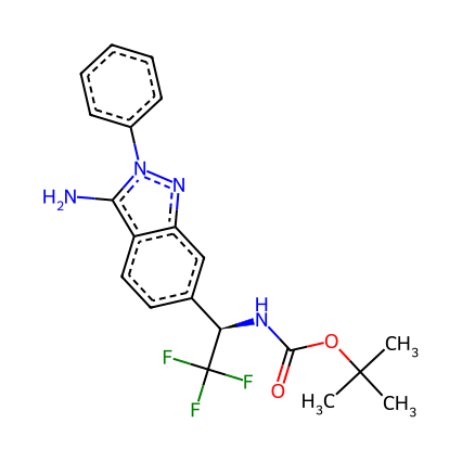 CC(C)(C)OC(=O)N[C@H](c1ccc2c(N)n(-c3ccccc3)nc2c1)C(F)(F)F